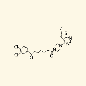 CCc1cc2c(N3CCN(C(=O)CCCCCC(=O)c4ccc(Cl)c(Cl)c4)CC3)ncnc2s1